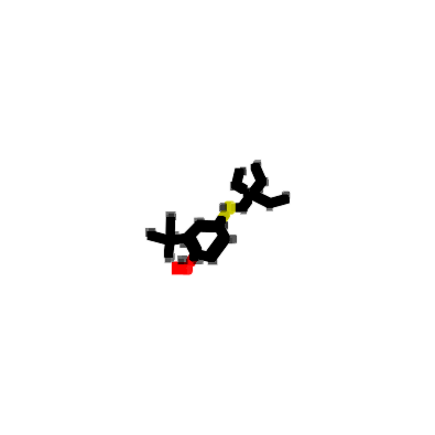 CC[Si](CC)(CC)CSc1ccc(O)c(C(C)(C)C)c1